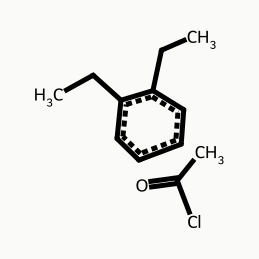 CC(=O)Cl.CCc1ccccc1CC